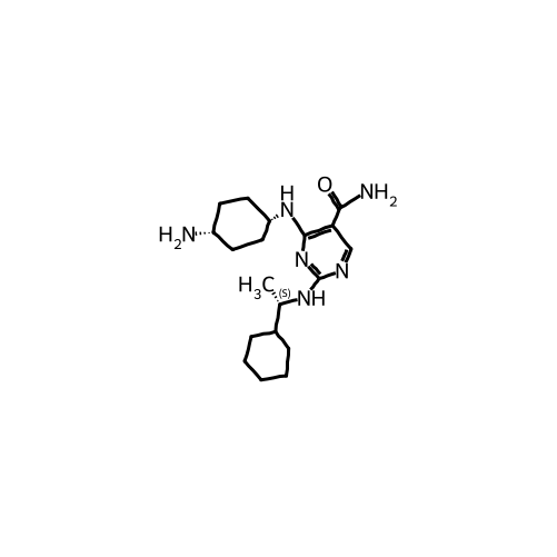 C[C@H](Nc1ncc(C(N)=O)c(N[C@H]2CC[C@@H](N)CC2)n1)C1CCCCC1